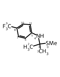 CSC(C)(C)Nc1ccc(C(F)(F)F)cc1